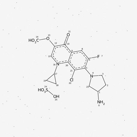 NC1CCN(c2c(F)cc3c(=O)c(OC(=O)O)cn(C4CC4)c3c2Cl)C1.O=S(=O)(O)O